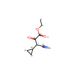 CCOC(=O)C(=O)C(C#N)C1CC1